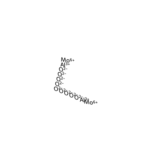 [Al+3].[Al+3].[Mo+6].[Mo+6].[O-2].[O-2].[O-2].[O-2].[O-2].[O-2].[O-2].[O-2].[O-2]